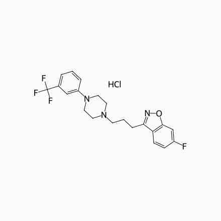 Cl.Fc1ccc2c(CCCN3CCN(c4cccc(C(F)(F)F)c4)CC3)noc2c1